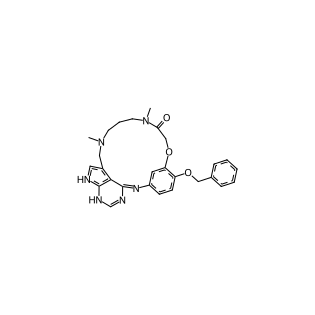 CN1CCCN(C)C(=O)COc2cc(ccc2OCc2ccccc2)/N=C2/N=CNc3[nH]cc(c32)C1